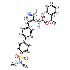 CC(=O)N(C(C)=O)S(=O)(=O)c1ccc(-c2ccc(-c3onc(C)c3NC(=O)O[C@H](C)c3ccccc3)cc2)cc1